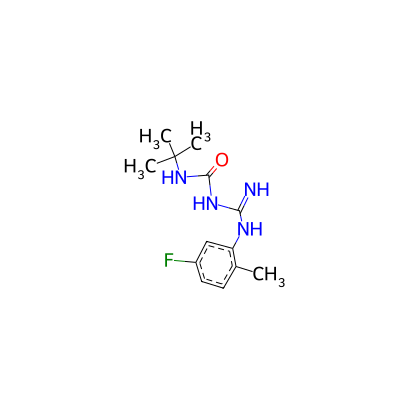 Cc1ccc(F)cc1NC(=N)NC(=O)NC(C)(C)C